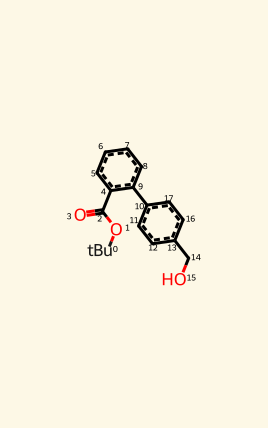 CC(C)(C)OC(=O)c1ccccc1-c1ccc(CO)cc1